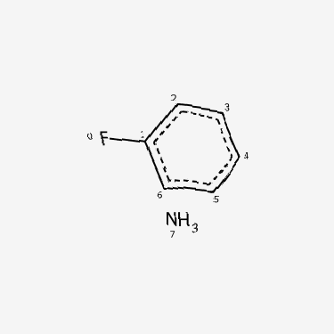 Fc1ccccc1.N